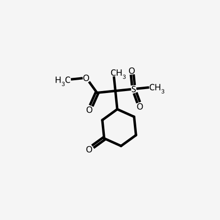 COC(=O)C(C)(C1CCCC(=O)C1)S(C)(=O)=O